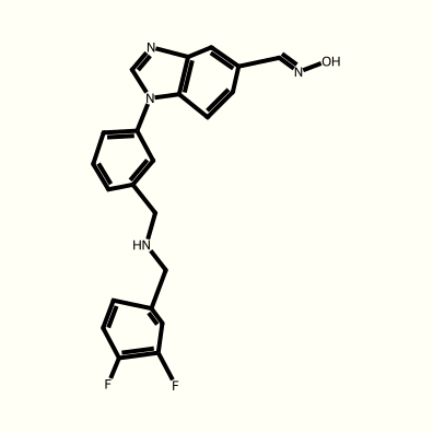 ON=Cc1ccc2c(c1)ncn2-c1cccc(CNCc2ccc(F)c(F)c2)c1